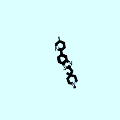 C[C@H]1CCC(c2ccc3sc(CC4(C)CCN(C)CC4)nc3c2)=NC1